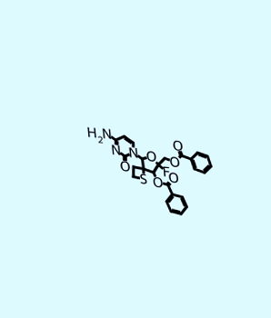 Nc1ccn(C2OC(F)(COC(=O)c3ccccc3)C(OC(=O)c3ccccc3)C23CCS3)c(=O)n1